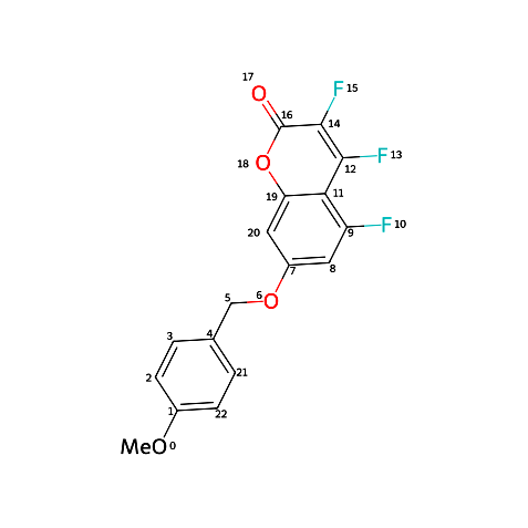 COc1ccc(COc2cc(F)c3c(F)c(F)c(=O)oc3c2)cc1